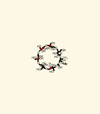 CC(O)C1OC2OC(CO)C(OC3OC(CO)C(OC4OC(CO)C(OC5OC(CO)C(OC6OC(CO)C(OC7OC(CO)C(OC(CO)OC1CN=[N+]=[N-])C(O)C7O)C(O)C6O)C(O)C5O)C(O)C4O)C(O)C3O)C(O)C2O